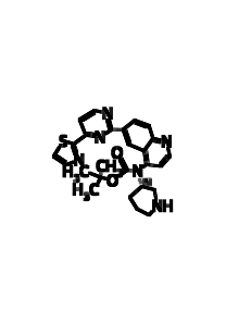 CC(C)(C)OC(=O)N(c1ccnc2ccc(-c3nccc(-c4nccs4)n3)cc12)[C@H]1CCCNC1